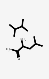 CC(C)C(C)C.CC(C)CC(N)C(N)=O